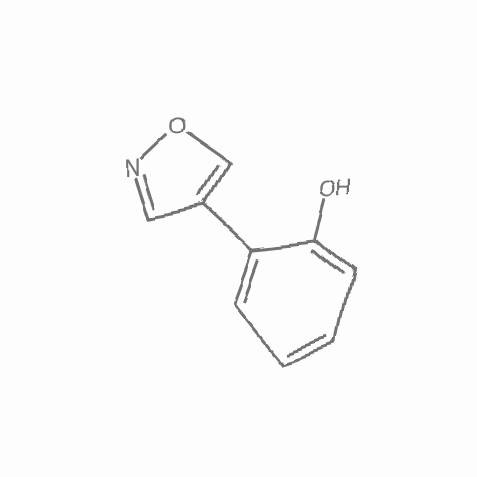 Oc1ccccc1-c1cnoc1